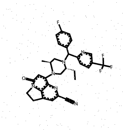 CC[C@@H]1CN(c2cc(=O)n3c4c(cc(C#N)nc24)CC3)[C@@H](C)CN1C(c1ccc(F)cc1)c1ccc(C(F)(F)F)cn1